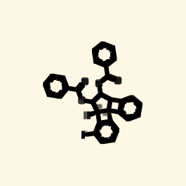 O=C(OC1C(OC(=O)c2ccccc2)[C@H]2c3c(F)cccc3[C@@]23c2ccccc2C13)c1ccccc1